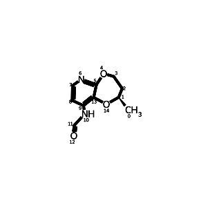 C[C@@H]1CCOc2nccc(NC=O)c2O1